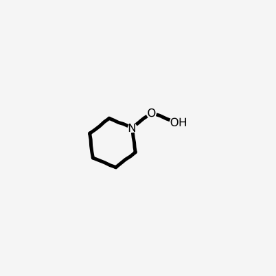 OON1CCCCC1